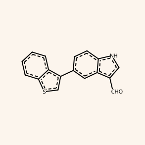 O=Cc1c[nH]c2ccc(-c3csc4ccccc34)cc12